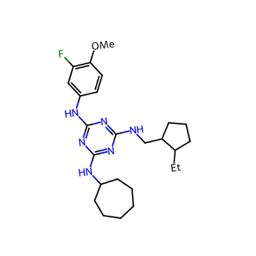 CCC1CCCC1CNc1nc(Nc2ccc(OC)c(F)c2)nc(NC2CCCCCC2)n1